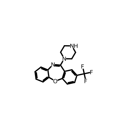 FC(F)(F)c1ccc2c(c1)C(N1CCNCC1)=Nc1ccccc1O2